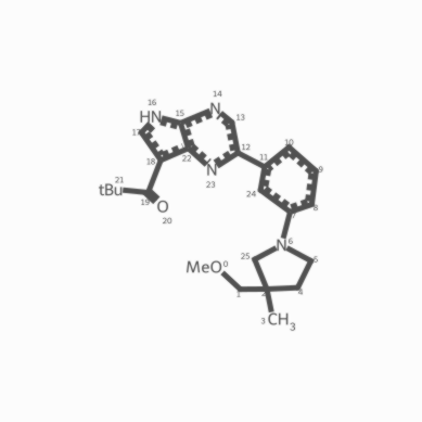 COCC1(C)CCN(c2cccc(-c3cnc4[nH]cc(C(=O)C(C)(C)C)c4n3)c2)C1